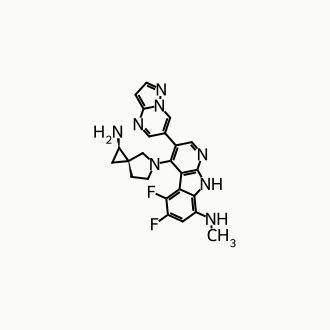 CNc1cc(F)c(F)c2c1[nH]c1ncc(-c3cnc4ccnn4c3)c(N3CC[C@]4(C[C@H]4N)C3)c12